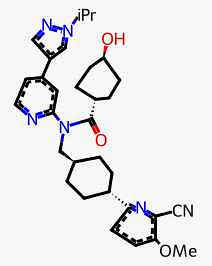 COc1ccc([C@H]2CC[C@H](CN(c3cc(-c4cnn(C(C)C)c4)ccn3)C(=O)[C@H]3CC[C@H](O)CC3)CC2)nc1C#N